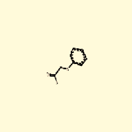 O=C([S])CSc1ccccc1